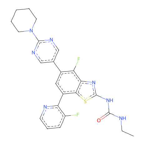 CCNC(=O)Nc1nc2c(F)c(-c3cnc(N4CCCCC4)nc3)cc(-c3ncccc3F)c2s1